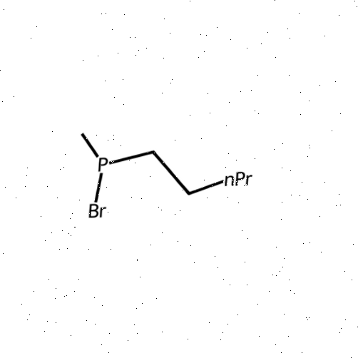 CCCCCP(C)Br